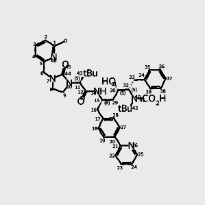 Cc1cccc(CN2CCN([C@H](C(=O)N[C@H](Cc3ccc(-c4ccccn4)cc3)C[C@H](O)[C@H](Cc3ccccc3)N(C(=O)O)C(C)(C)C)C(C)(C)C)C2=O)n1